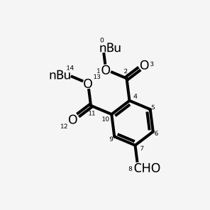 CCCCOC(=O)c1ccc(C=O)cc1C(=O)OCCCC